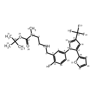 CN(CCNCc1cc(-n2nc(C(F)(F)F)cc2-c2ccco2)ccc1F)C(=O)OC(C)(C)C